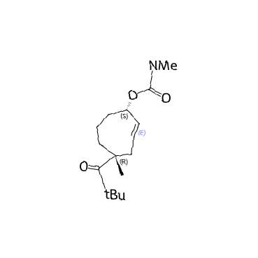 CNC(=O)O[C@@H]1/C=C/C[C@](C)(C(=O)C(C)(C)C)CCC1